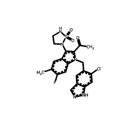 CC(=O)c1c(N2CCNS2(=O)=O)c2cc(C)c(F)cc2n1Cc1cc2cn[nH]c2cc1Cl